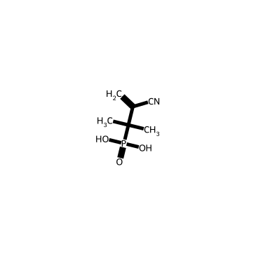 C=C(C#N)C(C)(C)P(=O)(O)O